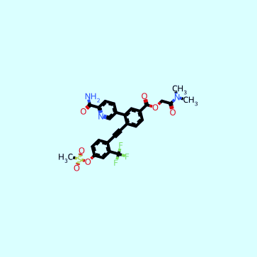 CN(C)C(=O)COC(=O)c1ccc(C#Cc2ccc(OS(C)(=O)=O)cc2C(F)(F)F)c(-c2ccc(C(N)=O)nc2)c1